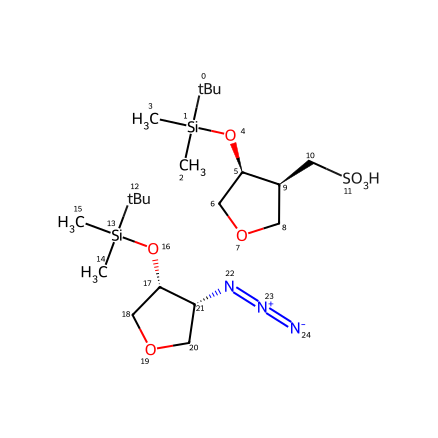 CC(C)(C)[Si](C)(C)O[C@@H]1COC[C@@H]1CS(=O)(=O)O.CC(C)(C)[Si](C)(C)O[C@H]1COC[C@H]1N=[N+]=[N-]